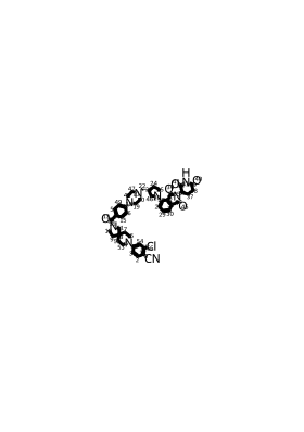 N#Cc1ccc(N2CCC3(CCN(C(=O)c4ccc(N5CCN(C[C@@H]6CCN(c7cccc8c7C(=O)N(C7CCC(=O)NC7=O)C8=O)C6)CC5)cc4)C3)CC2)cc1Cl